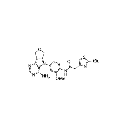 COc1cc(-n2c3c(c4ncnc(N)c42)COC3)ccc1NC(=O)Cc1csc(C(C)(C)C)n1